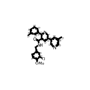 COc1ccc(CNC(=O)c2cc(-c3cncc(C)c3)cnc2-c2cccc(C)c2)cc1Cl